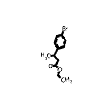 CCOC(=O)CC(C)c1ccc(Br)cc1